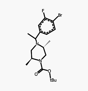 CC(c1ccc(Br)c(F)c1)N1C[C@H](C)N(C(=O)OC(C)(C)C)C[C@H]1C